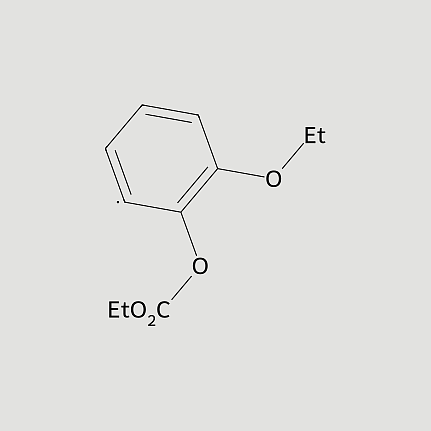 CCOC(=O)Oc1[c]cccc1OCC